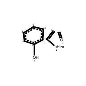 C=CCCCCCC.C=O.Oc1ccccc1